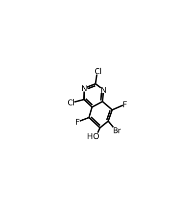 Oc1c(Br)c(F)c2nc(Cl)nc(Cl)c2c1F